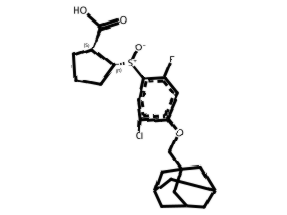 O=C(O)[C@@H]1CCC[C@H]1[S+]([O-])c1cc(Cl)c(OCC23CC4CC(CC(C4)C2)C3)cc1F